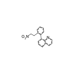 O=[N+]([O-])CCc1ccccc1-c1cccc2cccnc12